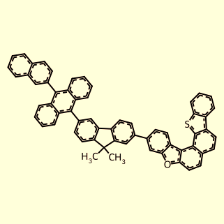 CC1(C)c2ccc(-c3c4ccccc4c(-c4ccc5ccccc5c4)c4ccccc34)cc2-c2ccc(-c3ccc4c(c3)oc3ccc5ccc6c7ccccc7sc6c5c34)cc21